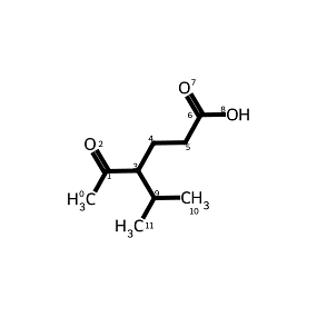 CC(=O)C(CCC(=O)O)C(C)C